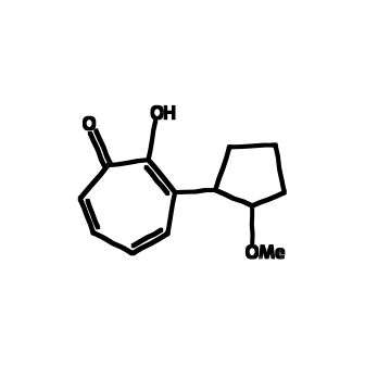 COC1CCCC1c1ccccc(=O)c1O